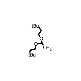 [CH2]C(OCCC(C)(C)C)OCCC(C)(C)C